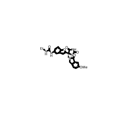 CCNC(=O)Nc1ccc2oc([C@]3(CN4Cc5ccc(OC)cc5C4=O)NC(=O)NC3=O)cc2c1